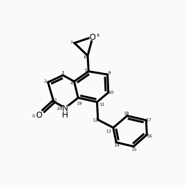 O=c1ccc2c(C3CO3)ccc(Cc3ccccc3)c2[nH]1